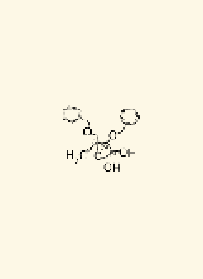 C=C[C@]1(COCc2ccccc2)OC(O)[C@H](O)[C@@H]1OCc1ccccc1